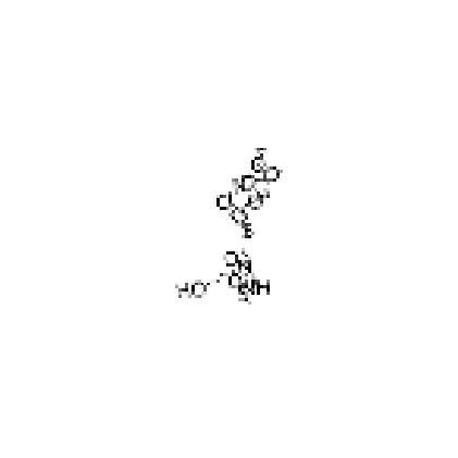 CSNCCN(CCCCSc1ccc(Cl)c(COC2(c3cnccc3-c3ccccc3OC3CC3)CC2)c1)C(=O)[C@@H](O)CCCCO